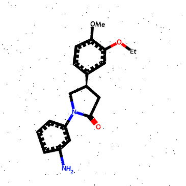 CCOc1cc([C@H]2CC(=O)N(c3cccc(N)c3)C2)ccc1OC